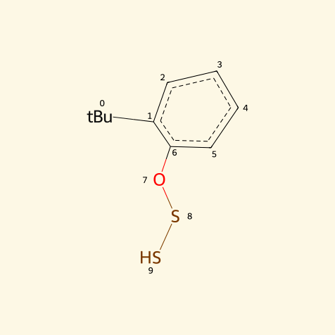 CC(C)(C)c1ccccc1OSS